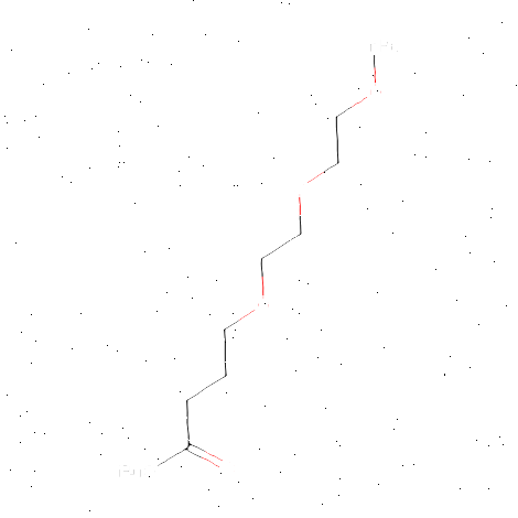 CCCCOCCOCCOCCCC(=O)OCC(C)C